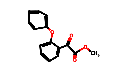 COC(=O)C(=O)c1ccccc1Oc1ccccc1